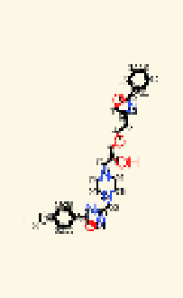 O[C@@H](COCCc1coc(-c2ccccc2)n1)CN1CCN(Cc2noc(-c3ccc(C(F)(F)F)cc3)n2)CC1